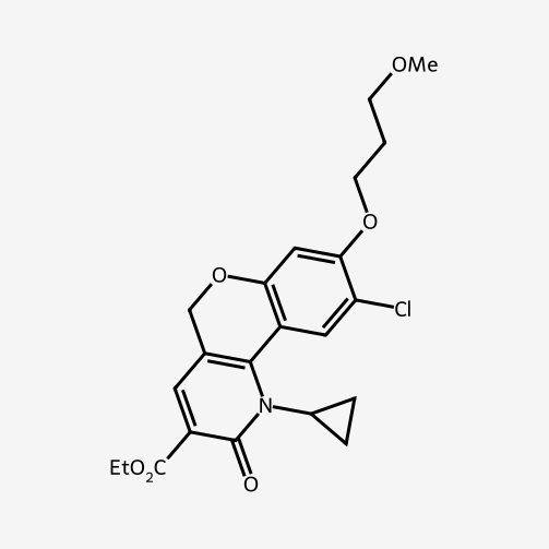 CCOC(=O)c1cc2c(n(C3CC3)c1=O)-c1cc(Cl)c(OCCCOC)cc1OC2